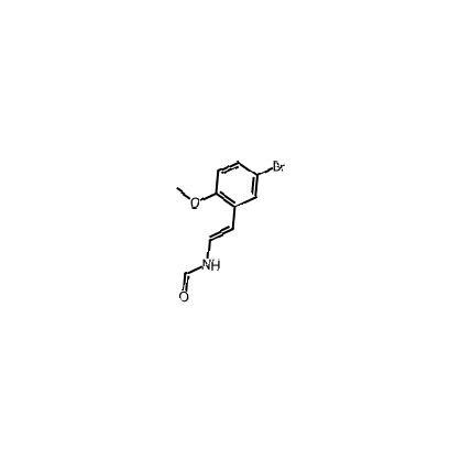 COc1ccc(Br)cc1C=CNC=O